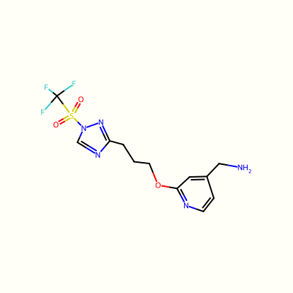 NCc1ccnc(OCCCc2ncn(S(=O)(=O)C(F)(F)F)n2)c1